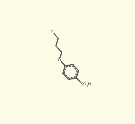 O=S(=O)(O)c1ccc(OCCCF)cc1